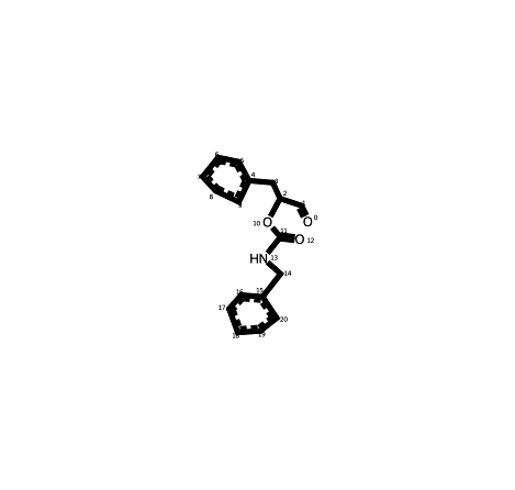 O=CC(Cc1ccccc1)OC(=O)NCc1ccccc1